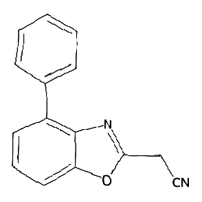 N#CCc1nc2c(-c3ccccc3)cccc2o1